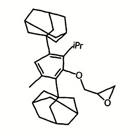 Cc1cc(C23CC4CC(CC(C4)C2)C3)c(C(C)C)c(OCC2CO2)c1C12CC3CC(CC(C3)C1)C2